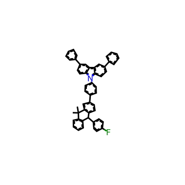 CC1(C)c2ccccc2C(c2ccc(F)cc2)c2ccc(-c3ccc(-n4c5ccc(-c6ccccc6)cc5c5cc(-c6ccccc6)ccc54)cc3)cc21